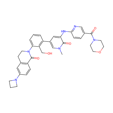 Cn1cc(-c2cccc(N3CCc4cc(N5CCC5)ccc4C3=O)c2CO)cc(Nc2ccc(C(=O)N3CCOCC3)cn2)c1=O